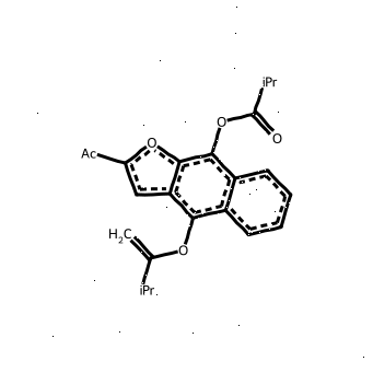 C=C(Oc1c2ccccc2c(OC(=O)C(C)C)c2oc(C(C)=O)cc12)C(C)C